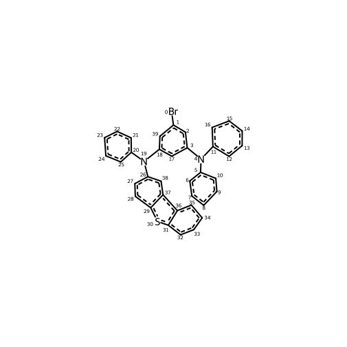 Brc1cc(N(c2ccccc2)c2ccccc2)cc(N(c2ccccc2)c2ccc3sc4ccccc4c3c2)c1